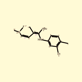 CCCC/C(Nc1ccc(C)c(CC)c1)=C(C)/C=C\N(C)F